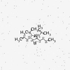 CC(C)[CH2][Al+][CH2]C(C)C.CCCCCCCCCC.[H-]